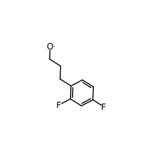 [O]CCCc1ccc(F)cc1F